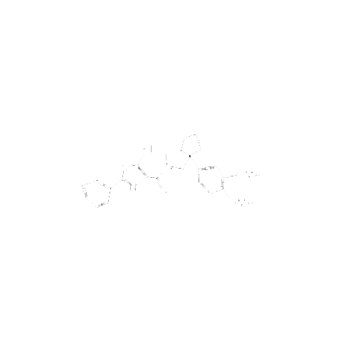 COc1ccc(C2(CNC(=O)c3nc(-c4ccccc4)sc3C(F)(F)F)CCCC2)cc1OC